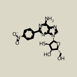 Nc1nc(-c2ccc([N+](=O)[O-])cc2)nc2c1ncn2[C@@H]1O[C@H](CO)[C@@H](O)[C@H]1S